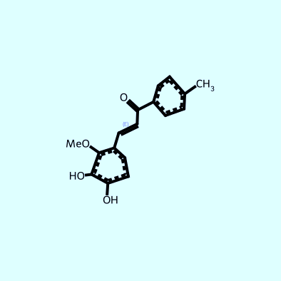 COc1c(/C=C/C(=O)c2ccc(C)cc2)ccc(O)c1O